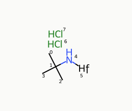 CC(C)(C)[NH][Hf].Cl.Cl